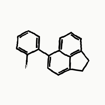 Fc1ccccc1-c1ccc2c3c(cccc13)CC2